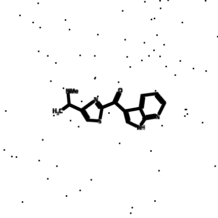 CNC(C)c1csc(C(=O)c2c[nH]c3ncccc23)n1